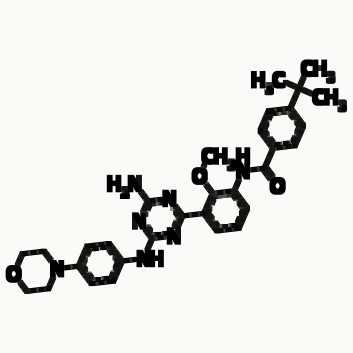 COc1c(NC(=O)c2ccc(C(C)(C)C)cc2)cccc1-c1nc(N)nc(Nc2ccc(N3CCOCC3)cc2)n1